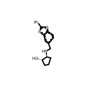 CC(C)c1nc2cc(CN[C@H]3CCC[C@@H]3O)ccc2s1